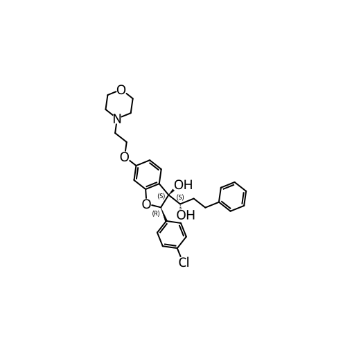 O[C@@H](CCc1ccccc1)[C@@]1(O)c2ccc(OCCN3CCOCC3)cc2O[C@@H]1c1ccc(Cl)cc1